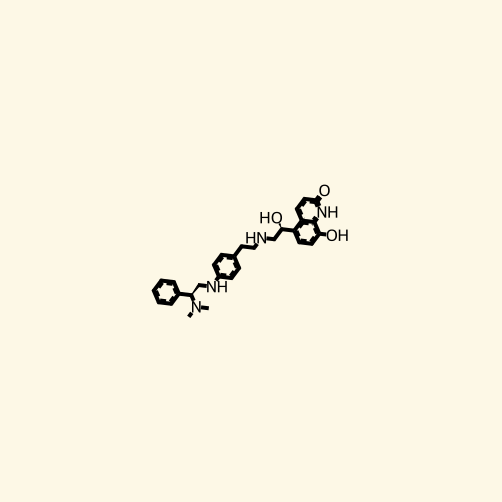 CN(C)[C@H](CNc1ccc(CCNC[C@H](O)c2ccc(O)c3[nH]c(=O)ccc23)cc1)c1ccccc1